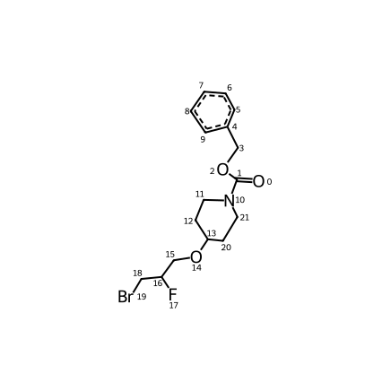 O=C(OCc1ccccc1)N1CCC(OCC(F)CBr)CC1